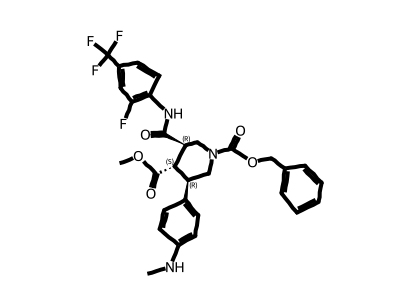 CNc1ccc([C@@H]2CN(C(=O)OCc3ccccc3)C[C@H](C(=O)Nc3ccc(C(F)(F)F)cc3F)[C@H]2C(=O)OC)cc1